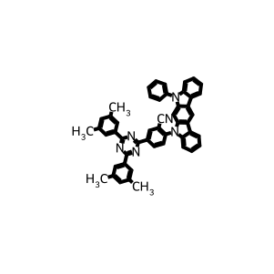 Cc1cc(C)cc(-c2nc(-c3cc(C)cc(C)c3)nc(-c3ccc(-n4c5ccccc5c5cc6c7ccccc7n(-c7ccccc7)c6cc54)c(C#N)c3)n2)c1